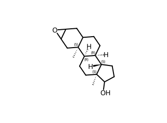 C[C@]12CC3OC3CC1CC[C@@H]1[C@H]2CC[C@]2(C)C(O)CC[C@@H]12